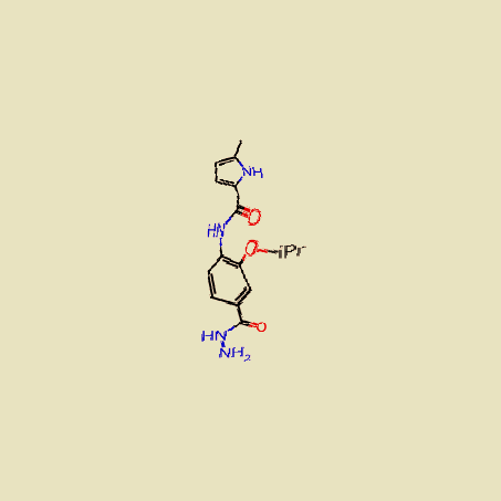 Cc1ccc(C(=O)Nc2ccc(C(=O)NN)cc2OC(C)C)[nH]1